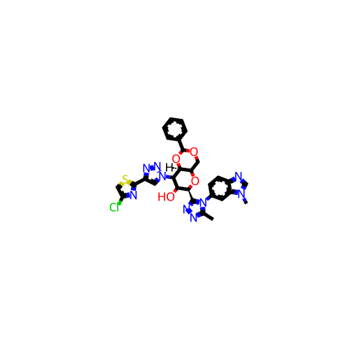 Cc1nnc([C@@H]2OC3COC(c4ccccc4)O[C@@H]3C(n3cc(-c4nc(Cl)cs4)nn3)C2O)n1-c1ccc2ncn(C)c2c1